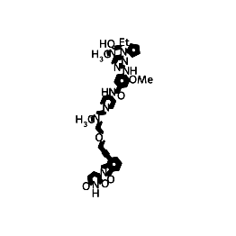 CC[C@@H]1C(O)N(C)c2cnc(Nc3ccc(C(=O)NC4CCN(CCN(C)CCCOCCC#Cc5cccc6c5CN(C5CCC(=O)NC5=O)C6=O)CC4)cc3OC)nc2N1C1CCCC1